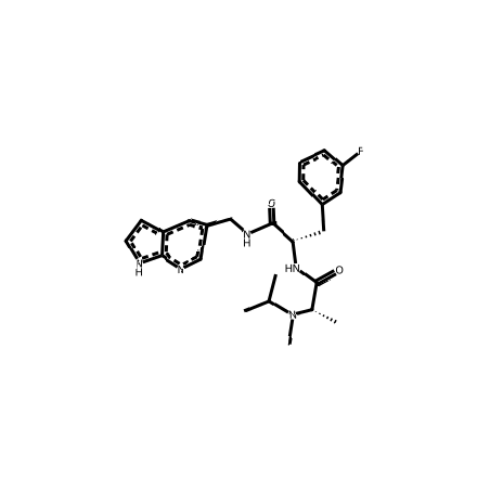 CC(C)N(C)[C@@H](C)C(=O)N[C@@H](Cc1cccc(F)c1)C(=O)NCc1cnc2[nH]ccc2c1